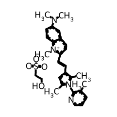 Cc1cccnc1-n1c(C)cc(/C=C/c2ccc3cc(N(C)C)ccc3[n+]2C)c1C.O=S(=O)([O-])CCO